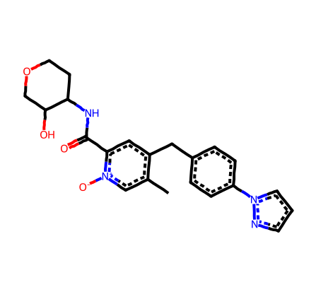 Cc1c[n+]([O-])c(C(=O)NC2CCOCC2O)cc1Cc1ccc(-n2cccn2)cc1